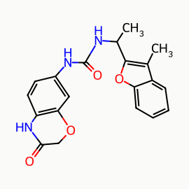 Cc1c(C(C)NC(=O)Nc2ccc3c(c2)OCC(=O)N3)oc2ccccc12